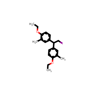 CCOc1ccc(C(CI)c2ccc(OCC)c(C)c2)cc1C